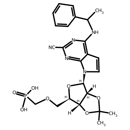 CC(Nc1nc(C#N)nc2c1ccn2[C@@H]1O[C@H](COCP(=O)(O)O)[C@H]2OC(C)(C)O[C@H]21)c1ccccc1